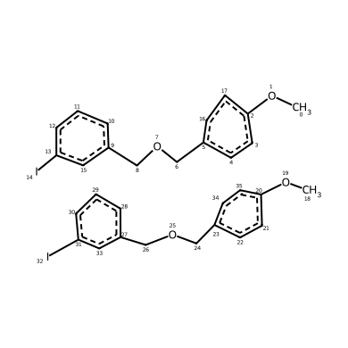 COc1ccc(COCc2cccc(I)c2)cc1.COc1ccc(COCc2cccc(I)c2)cc1